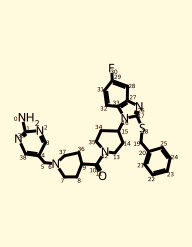 Nc1ncc(CN2CCC(C(=O)N3CCC(n4c(SCc5ccccc5)nc5cc(F)ccc54)CC3)CC2)cn1